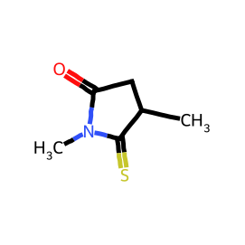 CC1CC(=O)N(C)C1=S